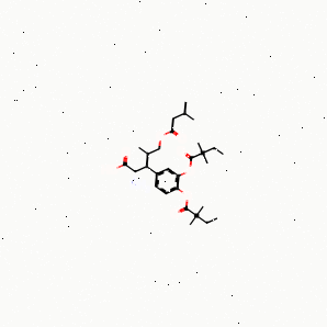 CCC(C)(C)C(=O)Oc1ccc(C(C(C)COC(=O)CC(C)C)[C@H](N)C(=O)O)cc1OC(=O)C(C)(C)CC